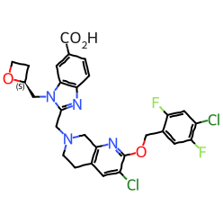 O=C(O)c1ccc2nc(CN3CCc4cc(Cl)c(OCc5cc(F)c(Cl)cc5F)nc4C3)n(C[C@@H]3CCO3)c2c1